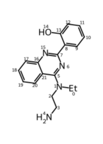 CCN(CCN)c1nc(-c2ccccc2O)nc2ccccc12